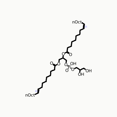 CCCCCCCC/C=C\CCCCCCCC(=O)OC(COC(=O)CCCCCCC/C=C/CCCCCCCC)COP(=O)(O)OCC(O)CO